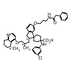 C[C@@H](COc1ccnc2c1[C@H](C)CCC2)C[C@H]1Cc2ccc(OCCCNC(=O)Cc3ccccc3)cc2C12CCC(Nc1cccc(Cl)c1)(C(=O)O)CC2